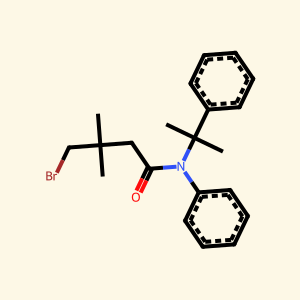 CC(C)(CBr)CC(=O)N(c1ccccc1)C(C)(C)c1ccccc1